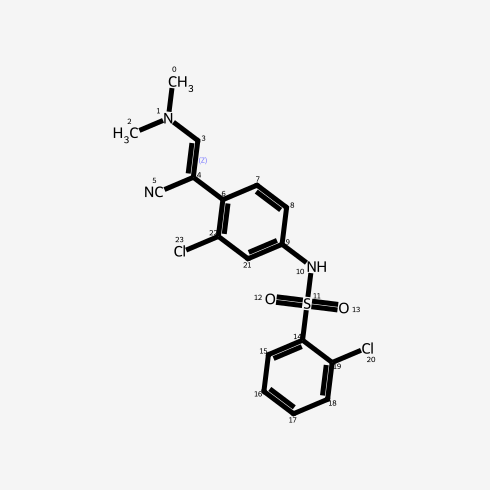 CN(C)/C=C(\C#N)c1ccc(NS(=O)(=O)c2ccccc2Cl)cc1Cl